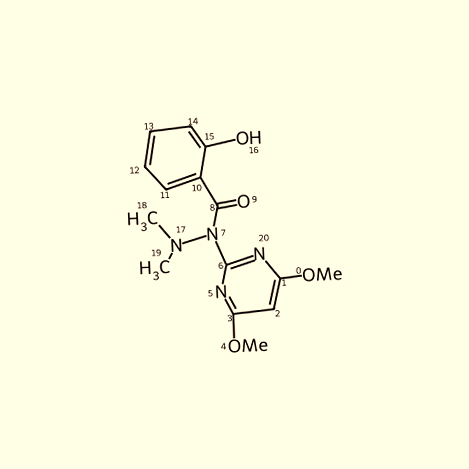 COc1cc(OC)nc(N(C(=O)c2ccccc2O)N(C)C)n1